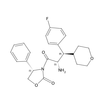 N[C@H](C(=O)N1C(=O)OC[C@@H]1c1ccccc1)[C@@H](c1ccc(F)cc1)C1CCOCC1